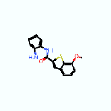 COc1cccc2cc(C(=O)Nc3ccccc3N)sc12